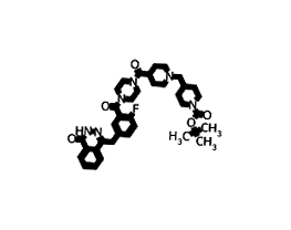 CC(C)(C)OC(=O)N1CCC(CN2CCC(C(=O)N3CCN(C(=O)c4cc(Cc5n[nH]c(=O)c6ccccc56)ccc4F)CC3)CC2)CC1